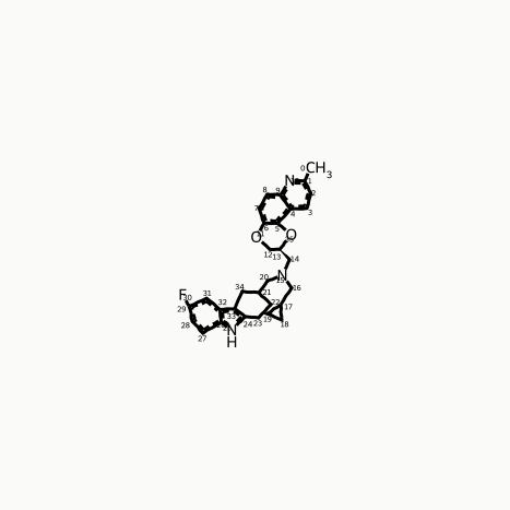 Cc1ccc2c3c(ccc2n1)OC[C@H](CN(CC1CC1)CC1CCc2[nH]c4ccc(F)cc4c2C1)O3